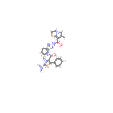 Cc1cn2ccsc2c1C(=O)NC[C@@H]1[C@H]2CC[C@H](C2)N1C(=O)c1nc(N(C)C)sc1-c1ccccc1